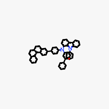 c1ccc(-c2cccc(N(c3ccc(-c4ccc5c(ccc6ccc7ccccc7c65)c4)cc3)c3cccc4c5ccccc5n(-c5ccccc5)c34)c2)cc1